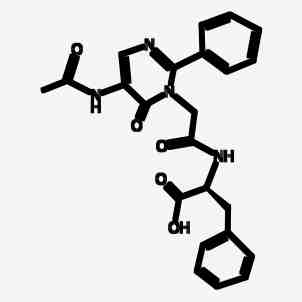 CC(=O)Nc1cnc(-c2ccccc2)n(CC(=O)N[C@@H](Cc2ccccc2)C(=O)O)c1=O